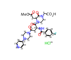 COC(=O)CC1C(=O)N(CC(=O)O)CCN1C(=O)C(CC(=O)N1CCN(c2ccncc2)CC1)NC(=O)c1ccc(F)cc1.Cl